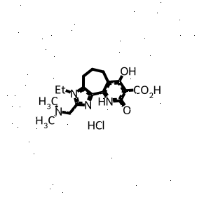 CCn1c(CN(C)C)nc2c1CCCc1c-2[nH]c(=O)c(C(=O)O)c1O.Cl